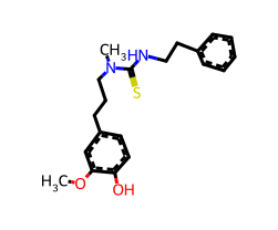 COc1cc(CCCN(C)C(=S)NCCc2ccccc2)ccc1O